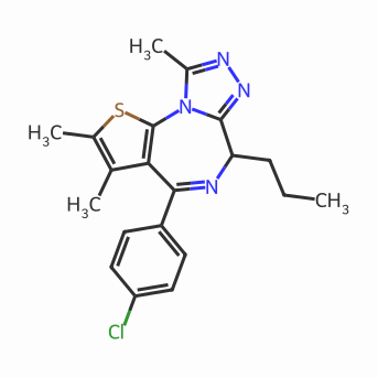 CCCC1N=C(c2ccc(Cl)cc2)c2c(sc(C)c2C)-n2c(C)nnc21